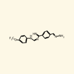 N=C(/N=C\Nc1ccc(OC(F)(F)F)cc1)c1ccc(C=NN)cc1